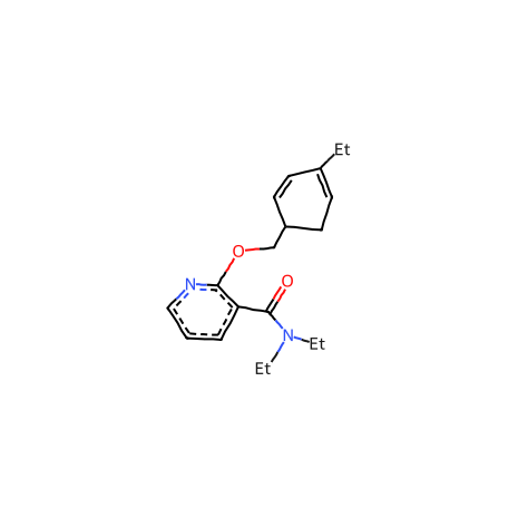 CCC1=CCC(COc2ncccc2C(=O)N(CC)CC)C=C1